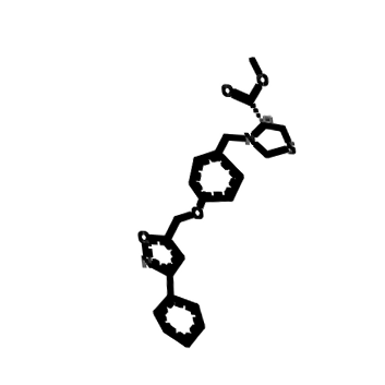 COC(=O)[C@@H]1CSCN1Cc1ccc(OCc2cc(-c3ccccc3)no2)cc1